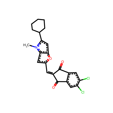 Cn1c(C2CCCCC2)cc2oc(C=C3C(=O)c4cc(Cl)c(Cl)cc4C3=O)cc21